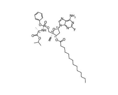 C#C[C@]1(CO[P@@](=O)(N[C@@H](C)C(=O)OC(C)C)Oc2ccccc2)O[C@@H](n2cnc3c(N)nc(F)nc32)C[C@@H]1OC(=O)CCCCCCCCCCCCC